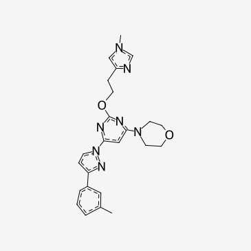 Cc1cccc(-c2ccn(-c3cc(N4CCOCC4)nc(OCCc4cn(C)cn4)n3)n2)c1